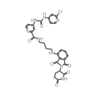 O=C1CCC(N2C(=O)c3cccc(NCCCCNC(=O)c4cc(NC(=O)Nc5ccnc(Cl)c5)ccn4)c3C2=O)C(=O)N1